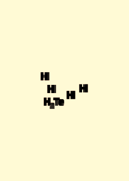 I.I.I.I.[TeH2]